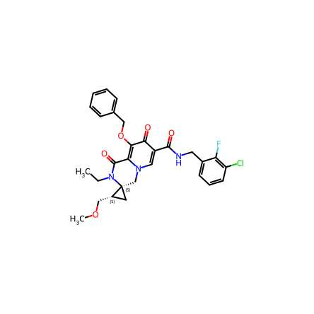 CCN1C(=O)c2c(OCc3ccccc3)c(=O)c(C(=O)NCc3cccc(Cl)c3F)cn2C[C@@]12C[C@@H]2COC